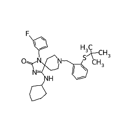 CC(C)(C)Sc1ccccc1CN1CCC2(CC1)C(NC1CCCCC1)=NC(=O)N2c1cccc(F)c1